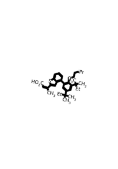 CCC(C)(C)c1cc(-c2cccc3sc(/C(C)=C\C(=O)O)cc23)c(OCCC(C)C)c(C(C)(C)CC)c1